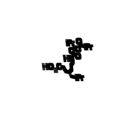 CC(C)C[C@@H](CCCNC(=O)O[C@@H](OC(=O)C(C)C)C(C)C)CCC(=O)O